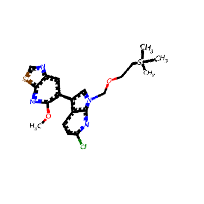 COc1nc2scnc2cc1-c1cn(COCC[Si](C)(C)C)c2nc(Cl)ccc12